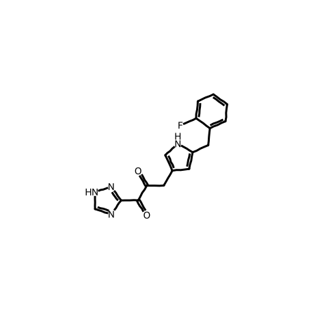 O=C(Cc1c[nH]c(Cc2ccccc2F)c1)C(=O)c1nc[nH]n1